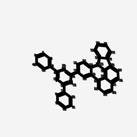 c1ccc(-c2nc(-c3ccccc3)nc(-c3ccc4c(c3)c3cccc5ccc6c7ccccc7n4c6c53)n2)cc1